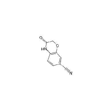 N#Cc1ccc2c(c1)OCC(=O)N2